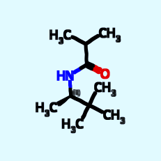 CC(C)C(=O)N[C@H](C)C(C)(C)C